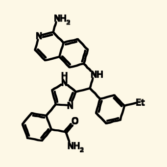 CCc1cccc(C(Nc2ccc3c(N)nccc3c2)c2nc(-c3ccccc3C(N)=O)c[nH]2)c1